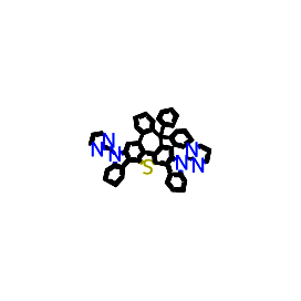 c1ccc(C2(c3ccccc3)c3ccccc3-c3cc4c(c5ccccc5n4-c4ncccn4)c4sc5c(c2cc2c5c5ccccc5n2-c2ncccn2)c34)cc1